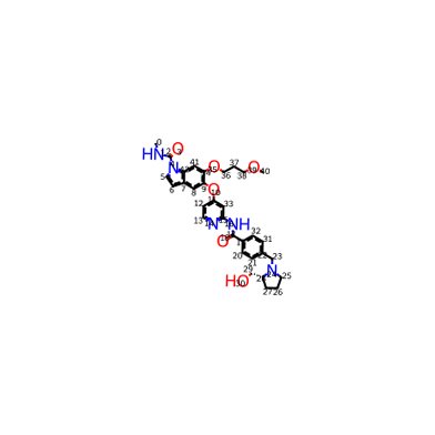 CNC(=O)n1ccc2cc(Oc3ccnc(NC(=O)c4ccc(CN5CCC[C@@H]5CO)cc4)c3)c(OCCCOC)cc21